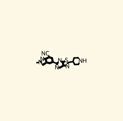 Cn1cc2cc(-c3ncc4nc(C5CCNCC5)sc4n3)cc(C#N)c2n1